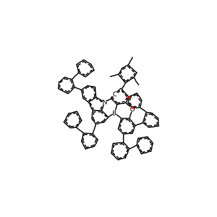 Cc1cc(C)c(-c2cc3c4c(c2)-n2c5ccc(-c6ccccc6-c6ccccc6)cc5c5cc(-c6ccccc6-c6ccccc6)cc(c52)B4c2cc(-c4ccccc4-c4ccccc4)cc(-c4ccccc4-c4ccccc4)c2O3)c(C)c1